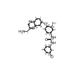 NCc1cnc2ccc(Oc3ccc(NC(=O)Nc4cccc(Cl)c4)cc3F)cc2n1